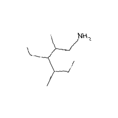 CCC(C)C(CC)C(C)CN